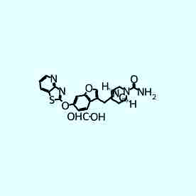 NC(=O)N1C[C@@H]2CC[C@H]1CN2Cc1coc2cc(Oc3nc4ncccc4s3)ccc12.O=CO